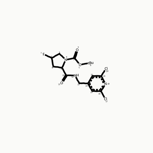 CC(C)(C)OC(=O)N1CC(F)CC1C(=O)NCc1cc(Cl)nc(Cl)c1